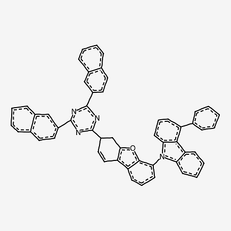 C1=CC(c2nc(-c3ccc4ccccc4c3)nc(-c3ccc4ccccc4c3)n2)Cc2oc3c(-n4c5ccccc5c5c(-c6ccccc6)cccc54)cccc3c21